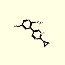 CCCc1cnc(C(=O)OCC)c(-c2cnc(C3CC3)nc2)c1